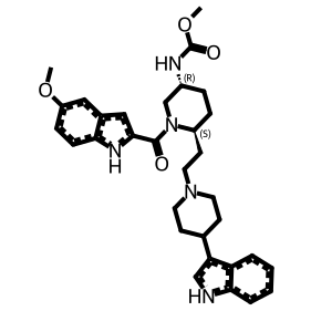 COC(=O)N[C@@H]1CC[C@@H](CCN2CCC(c3c[nH]c4ccccc34)CC2)N(C(=O)c2cc3cc(OC)ccc3[nH]2)C1